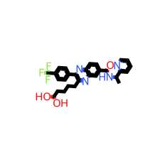 CC(NC(=O)c1ccc2nc(-c3ccc(C(F)(F)F)cc3)c(CCCCC(O)O)nc2c1)c1ccccn1